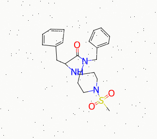 CS(=O)(=O)N1CCC2(CC1)NC(Cc1ccccc1)C(=O)N2Cc1ccccc1